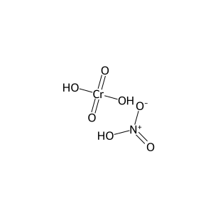 O=[N+]([O-])O.[O]=[Cr](=[O])([OH])[OH]